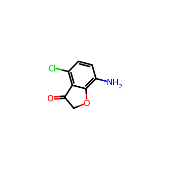 Nc1ccc(Cl)c2c1OCC2=O